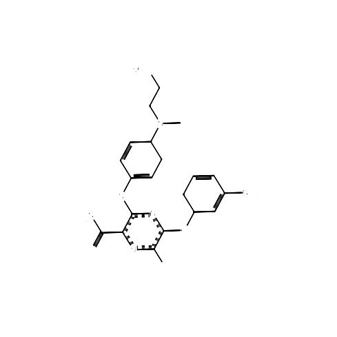 CCc1nc(C(N)=O)c(NC2=CCC(N(C)CCOC)C=C2)nc1OC1C=C(N)C=CC1